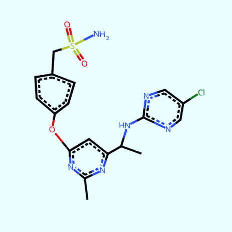 Cc1nc(Oc2ccc(CS(N)(=O)=O)cc2)cc(C(C)Nc2ncc(Cl)cn2)n1